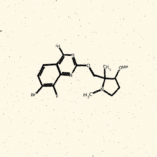 [2H]c1nc(OCC2(C)C(OC)CCN2C)nc2c(F)c(Br)ccc12